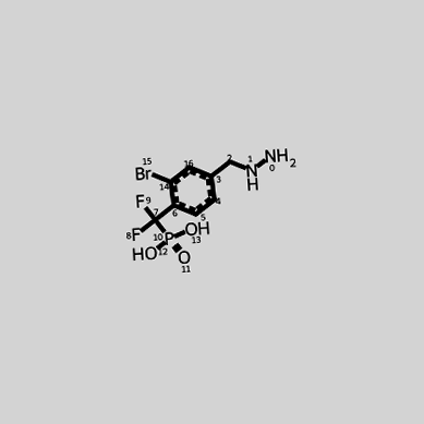 NNCc1ccc(C(F)(F)P(=O)(O)O)c(Br)c1